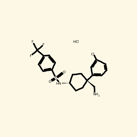 Cl.NC[C@]1(c2cccc(Cl)c2)CC[C@@H](NS(=O)(=O)c2ccc(C(F)(F)F)cc2)CC1